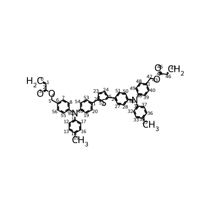 C=CC(=O)OCc1ccc(N(c2ccc(C)cc2)c2ccc(-c3ccc(-c4ccc(N(c5ccc(C)cc5)c5ccc(COC(=O)C=C)cc5)cc4)s3)cc2)cc1